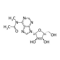 CC(=O)N(C)c1ncnc2c1ncn2[C@@H]1O[C@H](CO)[C@@H](O)[C@H]1O